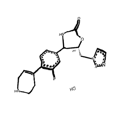 Cl.O=C1NC(c2ccc(C3=CCNCC3)c(F)c2)[C@@H](Cn2ccnn2)O1